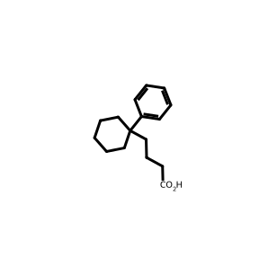 O=C(O)CCCC1(c2ccccc2)CCCCC1